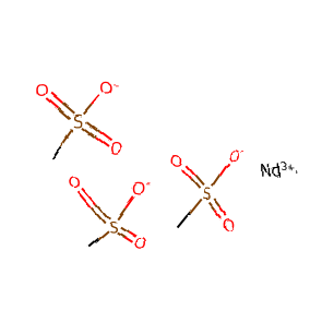 CS(=O)(=O)[O-].CS(=O)(=O)[O-].CS(=O)(=O)[O-].[Nd+3]